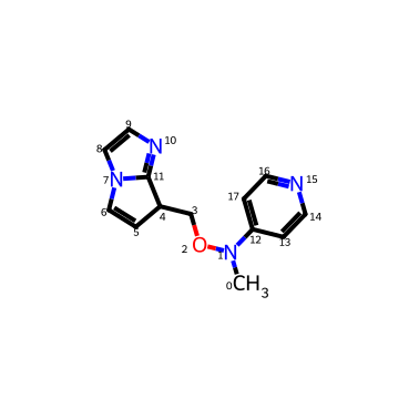 CN(OCC1C=Cn2ccnc21)c1ccncc1